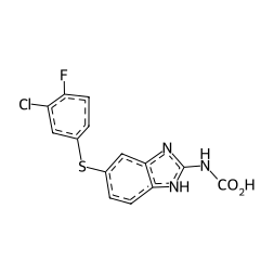 O=C(O)Nc1nc2cc(Sc3ccc(F)c(Cl)c3)ccc2[nH]1